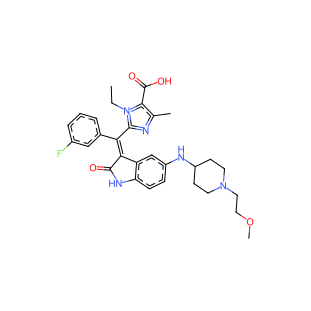 CCn1c(C(=C2C(=O)Nc3ccc(NC4CCN(CCOC)CC4)cc32)c2cccc(F)c2)nc(C)c1C(=O)O